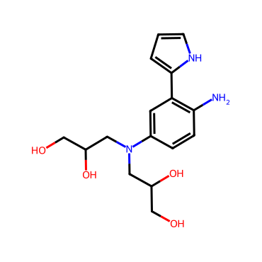 Nc1ccc(N(CC(O)CO)CC(O)CO)cc1-c1ccc[nH]1